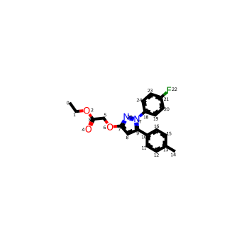 CCOC(=O)COc1cc(-c2ccc(C)cc2)n(-c2ccc(F)cc2)n1